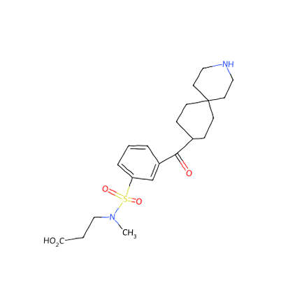 CN(CCC(=O)O)S(=O)(=O)c1cccc(C(=O)C2CCC3(CCNCC3)CC2)c1